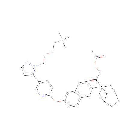 CC(=O)OCC(=O)C1CC2CCC(C1)C2Cc1ccc2cc(Oc3ccc(-c4ccnn4COCC[Si](C)(C)C)cn3)ccc2c1